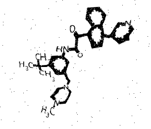 CN1CCN(Cc2cc(NC(=O)C(=O)c3ccc(-c4cccnc4)c4ccccc34)cc(C(C)(C)C)c2)CC1